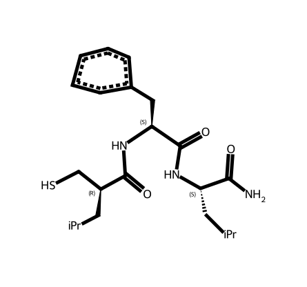 CC(C)C[C@@H](CS)C(=O)N[C@@H](Cc1ccccc1)C(=O)N[C@@H](CC(C)C)C(N)=O